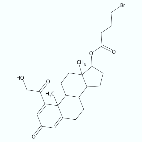 CC12C(=CC(=O)C=C1C(=O)CO)CCC1C2CCC2(C)C(OC(=O)CCCBr)CCC12